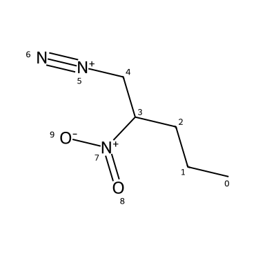 CCCC(C[N+]#N)[N+](=O)[O-]